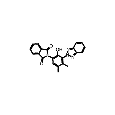 Cc1cc(N2C(=O)c3ccccc3C2=O)c(O)c(-n2nc3ccccc3n2)c1C